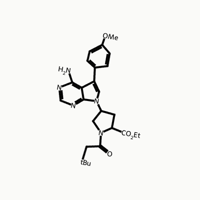 CCOC(=O)C1CC(n2cc(-c3ccc(OC)cc3)c3c(N)ncnc32)CN1C(=O)CC(C)(C)C